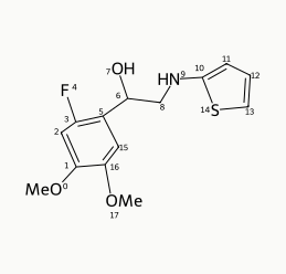 COc1cc(F)c(C(O)CNc2cccs2)cc1OC